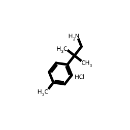 Cc1ccc(C(C)(C)CN)cc1.Cl